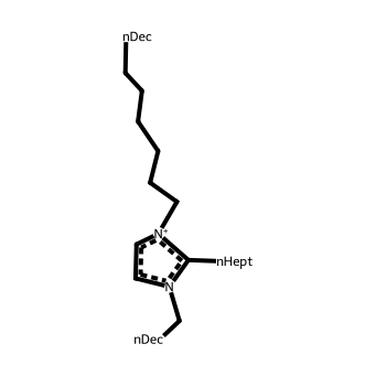 CCCCCCCCCCCCCCCC[n+]1ccn(CCCCCCCCCCC)c1CCCCCCC